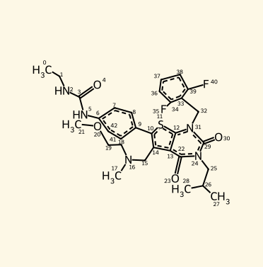 CCNC(=O)Nc1ccc(-c2sc3c(c2CN(C)CCOC)c(=O)n(CC(C)C)c(=O)n3Cc2c(F)cccc2F)cc1